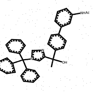 CC(=O)Nc1cccc(-c2ccc(C(C)(O)c3cn(C(c4ccccc4)(c4ccccc4)c4ccccc4)cn3)cc2)c1